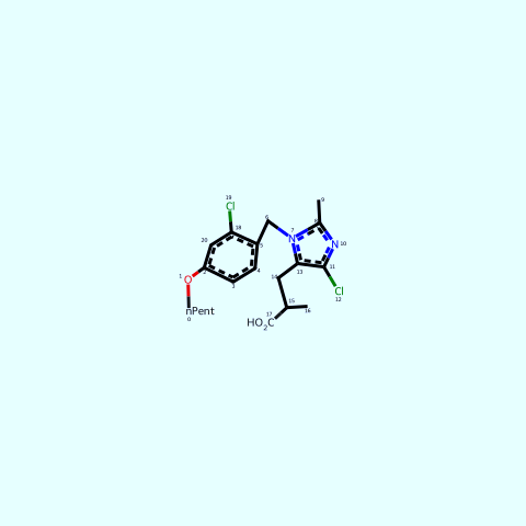 CCCCCOc1ccc(Cn2c(C)nc(Cl)c2CC(C)C(=O)O)c(Cl)c1